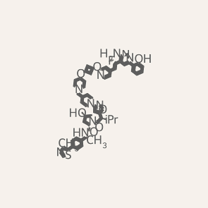 Cc1ncsc1-c1ccc([C@H](C)NC(=O)[C@@H]2C[C@@H](O)CN2C(=O)[C@@H](c2cc(N3CCC(CN4CCC(O[C@H]5C[C@H](Oc6cc(C=C(F)c7cc(-c8ccccc8O)nnc7N)ccn6)C5)CC4)CC3)no2)C(C)C)cc1